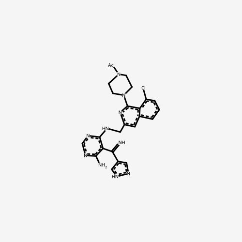 CC(=O)N1CCN(c2nc(CNc3ncnc(N)c3C(=N)c3cn[nH]c3)cc3cccc(Cl)c23)CC1